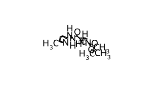 Cc1ccc(NNC(=O)C2[C@H]3CN(C(=O)OC(C)(C)C)C[C@@H]23)nc1